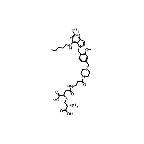 CCCCCNc1nc(N)nc2ccn(Cc3ccc(CN4CCN(C(=O)CCNC(=O)CC(SC[C@H](N)C(=O)O)C(=O)O)CC4)cc3OC)c12